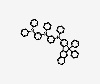 c1ccc(N(c2ccccc2)c2cccc(N(c3ccccc3)c3cccc(N(c4ccccc4)c4ccc5c(c4)-c4cc6ccccc6cc4C5(c4ccccc4)c4ccccc4)c3)c2)cc1